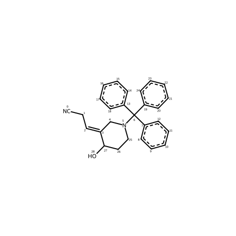 N#CCC=C1CN(C(c2ccccc2)(c2ccccc2)c2ccccc2)CCC1O